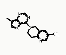 Cc1csc2c(N3CCc4ncc(C(F)(F)F)cc4C3)ncnc12